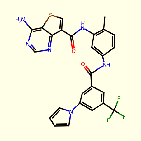 Cc1ccc(NC(=O)c2cc(-n3cccc3)cc(C(F)(F)F)c2)cc1NC(=O)c1csc2c(N)ncnc12